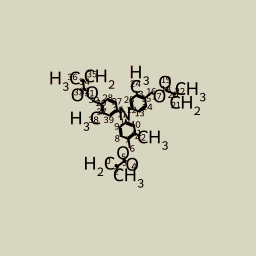 C=C(C)C(=O)OCc1ccc(N(c2ccc(COC(=O)C(=C)C)c(C)c2)c2ccc(COC(=O)C(=C)C)c(C)c2)cc1C